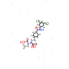 CC(C)CC(C(=O)O)N(CCc1ccc(C(=O)Nc2cc(Cl)cc(Cl)c2)cc1)C(=O)O